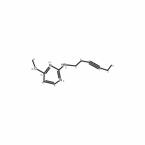 CCC#CCCNc1nccc(OC)n1